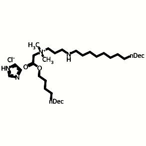 CCCCCCCCCCCCCCCCCCNCCC[N+](C)(C)CC(=O)OCCCCCCCCCCCCCC.[Cl-].c1c[nH]cn1